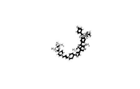 CC(Oc1cc(-c2nn(C)c3c(-c4cnn(C5CCN(CCCN6CCN(C(=O)OC(C)(C)C)CC6)CC5)c4)cnc(N)c23)ccc1NS(=O)(=O)C(F)F)c1ccc(F)cc1